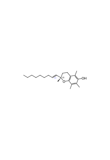 CCCCCCC/C=C/[C@]1(C)CCc2c(C)c(O)c(C)c(C)c2O1